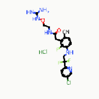 Cl.N#Cc1ccc(NCC(F)(F)c2ccc(Cl)cn2)c(F)c1CC(=O)NCCONC(=N)N